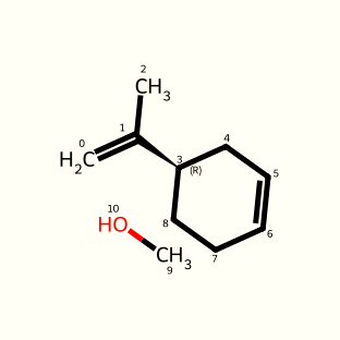 C=C(C)[C@H]1CC=CCC1.CO